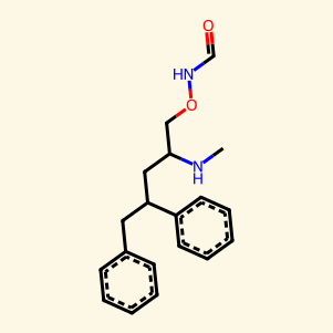 CNC(CONC=O)CC(Cc1ccccc1)c1ccccc1